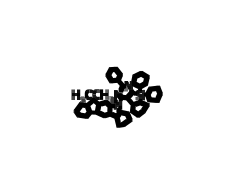 CC1(C)c2ccccc2-c2cc3c4ccccc4n(-c4nc(-c5ccccc5)nc5c4-c4ccccc4[Si]5(c4ccccc4)c4ccccc4)c3cc21